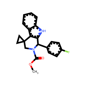 COC(=O)N1CC2(CC2)c2c([nH]c3ccccc23)C1c1ccc(F)cc1